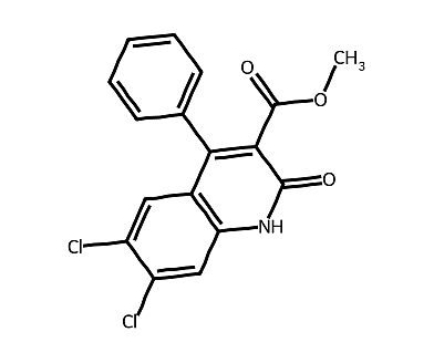 COC(=O)c1c(-c2ccccc2)c2cc(Cl)c(Cl)cc2[nH]c1=O